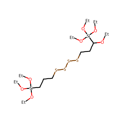 CCOC(CCSSSSCCC[Si](OCC)(OCC)OCC)[Si](OCC)(OCC)OCC